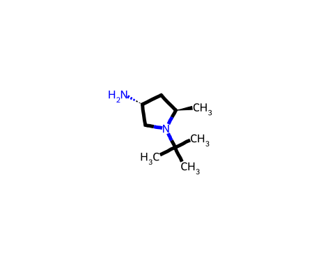 C[C@@H]1C[C@@H](N)CN1C(C)(C)C